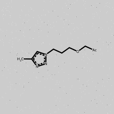 CC(=O)COCCCn1cc(C)nn1